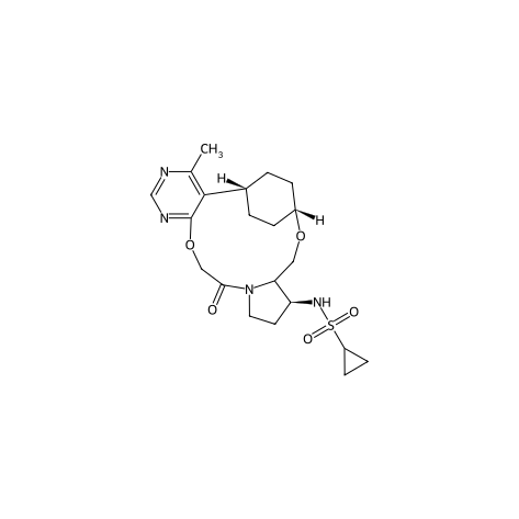 Cc1ncnc2c1[C@H]1CC[C@H](CC1)OCC1[C@@H](NS(=O)(=O)C3CC3)CCN1C(=O)CO2